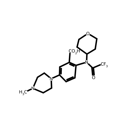 CN1CCN(c2ccc(N(C(=O)C(F)(F)F)C3CCOCC3)c(C(=O)O)c2)CC1